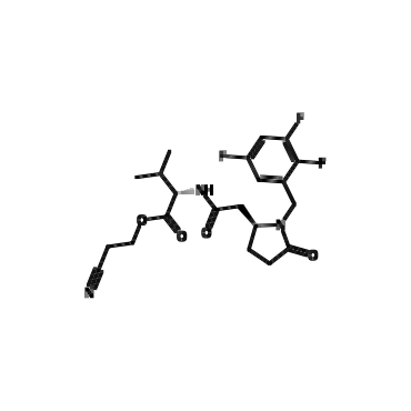 CC(C)[C@H](NC(=O)C[C@@H]1CCC(=O)N1Cc1cc(F)cc(F)c1F)C(=O)OCCC#N